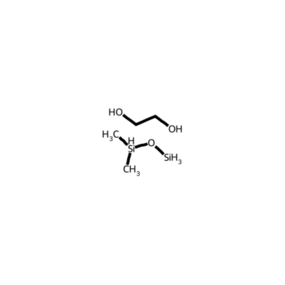 C[SiH](C)O[SiH3].OCCO